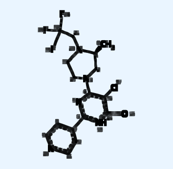 C[C@H]1CN(c2nc(-c3ccncc3)[nH]c(=O)c2Cl)CCN1CC(F)(F)F